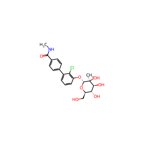 CNC(=O)c1ccc(-c2cccc(O[C@H]3O[C@H](CO)[C@@H](O)[C@H](O)[C@]3(C)O)c2Cl)cc1